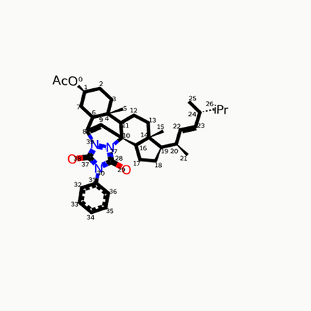 CC(=O)O[C@H]1CC[C@@]2(C)C(C1)C1=C[C@]3(C2CC[C@@]2(C)C3CC[C@@H]2[C@H](C)/C=C/[C@H](C)C(C)C)n2c(=O)n(-c3ccccc3)c(=O)n21